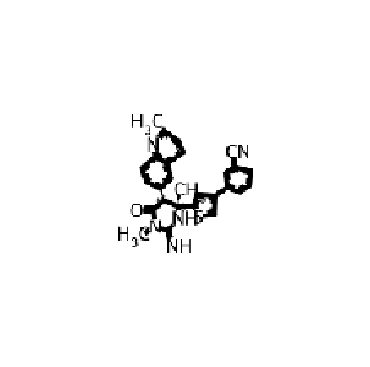 Cc1ccc2cc([C@@H]3C(=O)N(C)C(=N)N[C@]3(C)c3cc(-c4cccc(C#N)c4)cs3)ccc2n1